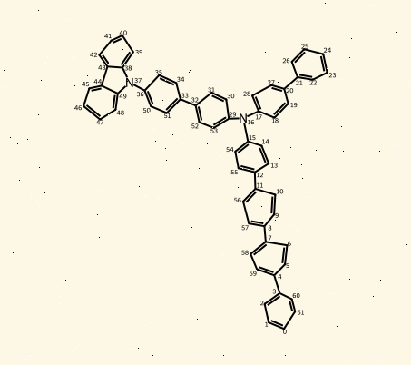 c1ccc(-c2ccc(-c3ccc(-c4ccc(N(c5ccc(-c6ccccc6)cc5)c5ccc(-c6ccc(-n7c8ccccc8c8ccccc87)cc6)cc5)cc4)cc3)cc2)cc1